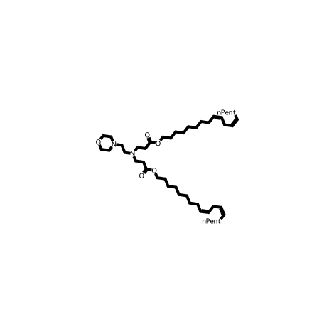 CCCCC/C=C\C/C=C\CCCCCCCCOC(=O)CCN(CCC(=O)OCCCCCCCC/C=C\C/C=C\CCCCC)CCN1CCOCC1